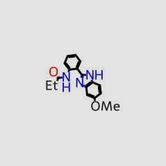 CCC(=O)Nc1ccccc1-c1nc2cc(OC)ccc2[nH]1